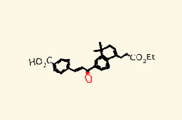 CCOC(=O)CCC1=CCC(C)(C)c2cc(C(=O)C=Cc3ccc(C(=O)O)cc3)ccc21